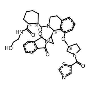 O=C(NCCO)[C@H]1CCCC[C@H]1C(=O)N1CCc2cccc(O[C@H]3CCN(C(=O)c4cncs4)C3)c2[C@H]1C1C[N+]12C(=O)c1ccccc1C2=O